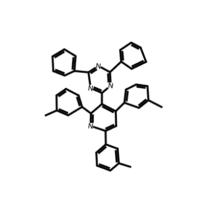 Cc1cccc(-c2cc(-c3cccc(C)c3)c(-c3nc(-c4ccccc4)nc(-c4ccccc4)n3)c(-c3cccc(C)c3)n2)c1